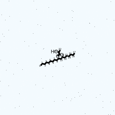 CCCCCCCCCC(CCCCCCCC)OC(=O)C(C)O